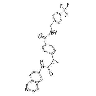 O=C(NCc1ccc(C(F)(F)F)cc1)c1ccc(C2CC2C(=O)Nc2ccc3cnccc3c2)cc1